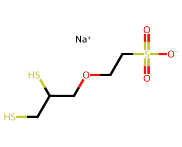 O=S(=O)([O-])CCOCC(S)CS.[Na+]